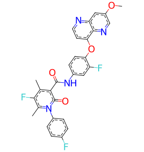 COc1cnc2c(Oc3ccc(NC(=O)c4c(C)c(F)c(C)n(-c5ccc(F)cc5)c4=O)cc3F)ccnc2c1